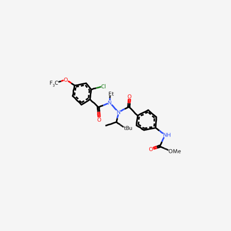 CCN(C(=O)c1ccc(OC(F)(F)F)cc1Cl)N(C(=O)c1ccc(NC(=O)OC)cc1)C(C)C(C)(C)C